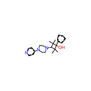 CC1(C)C(N2CCN(c3ccncc3)CC2)C(C)(C)C1(O)c1ccccc1